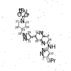 CC(C)c1cnnc(Nc2ccc3ncc(-c4cnn(CC5CCN(C(=O)OC(C)(C)C)CC5)c4)cc3n2)c1